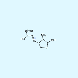 CCCCCC(O)/C=C/C1CCC(O)C1C